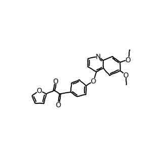 COc1cc2nccc(Oc3ccc(C(=O)C(=O)c4ccco4)cc3)c2cc1OC